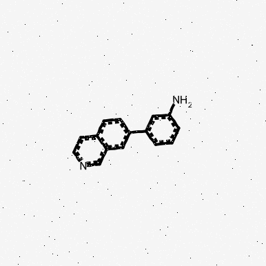 Nc1cccc(-c2ccc3ccncc3c2)c1